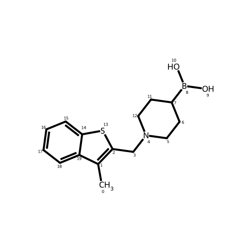 Cc1c(CN2CCC(B(O)O)CC2)sc2ccccc12